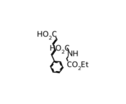 CCOC(=O)CNC(=O)O.O=C(O)C=CC=Cc1ccccc1